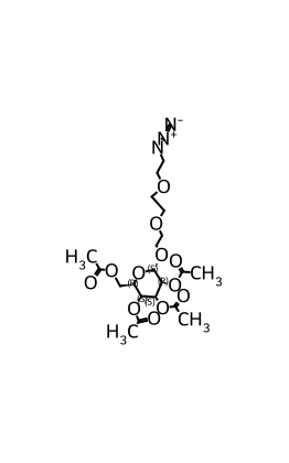 CC(=O)OC[C@H]1O[C@H](OCCOCCOCCN=[N+]=[N-])[C@H](OC(C)=O)[C@@H](OC(C)=O)[C@H]1OC(C)=O